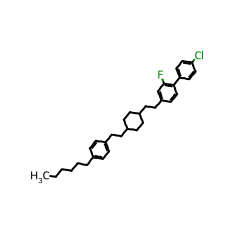 CCCCCCc1ccc(CCC2CCC(CCc3ccc(-c4ccc(Cl)cc4)c(F)c3)CC2)cc1